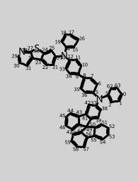 c1ccc(N(c2ccc(-c3ccc(N(c4ccccc4)c4ccc5c(c4)sc4ncccc45)cc3)cc2)c2ccc3c(c2)-c2ccccc2C32c3ccccc3-c3ccccc32)cc1